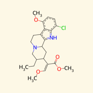 CCC1CN2CCc3c([nH]c4c(Cl)ccc(OC)c34)C2CC1/C(=C\OC)C(=O)OC